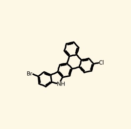 Clc1ccc2c(c1)c1ccccc1c1cc3c(cc21)[nH]c1ccc(Br)cc13